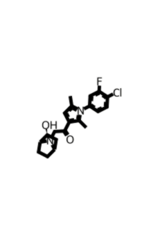 Cc1cc(C(=O)CN2C3CCC2[C@H](O)C3)c(C)n1-c1ccc(Cl)c(F)c1